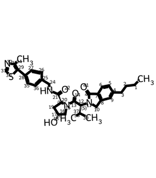 CCCCc1ccc2c(c1)CN([C@H](C(=O)N1C[C@H](O)C[C@H]1C(=O)NCc1ccc(-c3scnc3C)cc1)C(C)C)C2=O